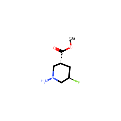 CC(C)(C)OC(=O)[C@@H]1C[C@@H](F)CN(N)C1